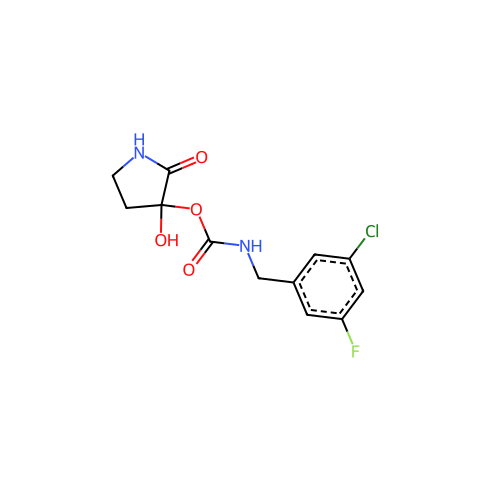 O=C(NCc1cc(F)cc(Cl)c1)OC1(O)CCNC1=O